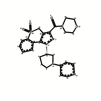 O=C(c1nn([C@H]2CCCN(c3ccncc3)C2)c2c1CS(=O)(=O)c1ccccc1-2)N1CCOCC1